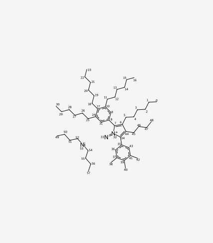 CCCCCCC1=C(c2cc(CCCCCC)c(CCCCCC)c(CCCCCC)c2)[N+](=[N-])C(c2cc(C)c(C)c(C)c2)=C1CCCC.CCC[CH2][Ni][CH2]CCC